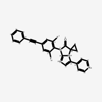 O=C1N(c2c(F)cc(C#Cc3ccccc3)cc2F)c2ncc(-c3ccncc3)n2C12CC2